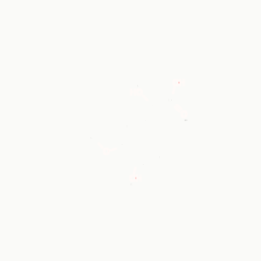 CC(C)Oc1cc(C(O)C(=O)O)ccc1O